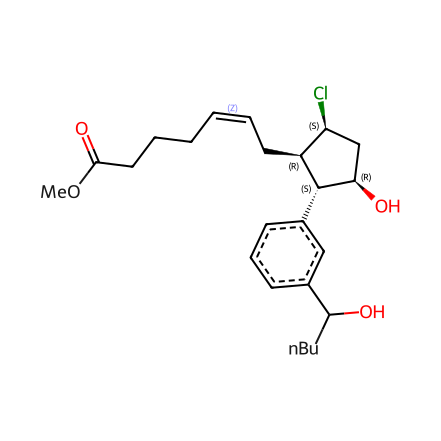 CCCCC(O)c1cccc([C@@H]2[C@@H](C/C=C\CCCC(=O)OC)[C@@H](Cl)C[C@H]2O)c1